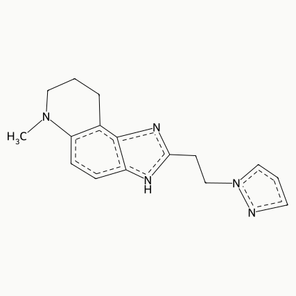 CN1CCCc2c1ccc1[nH]c(CCn3cccn3)nc21